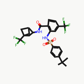 CC(C)(C)c1ccc(S(=O)(=O)Nc2cc(C(F)(F)F)ccc2C(=O)NC2CC3(C(F)(F)F)CC2C3)cc1